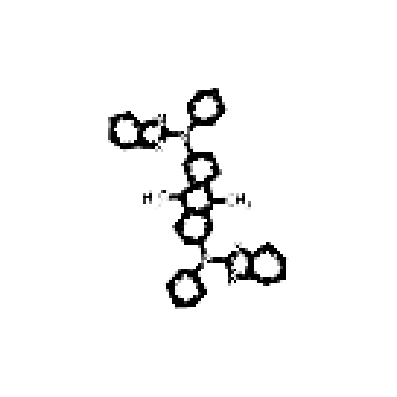 Cc1c2ccc(N(c3ccccc3)c3nc4ccccc4s3)cc2c(C)c2ccc(N(c3ccccc3)c3nc4ccccc4s3)cc12